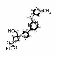 CCS(=O)(=O)N1CC(CC#N)(n2cc(-c3ccnc(Nc4cnn(C)c4)n3)cn2)C1